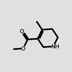 COC(=O)C1=C(C)CCNC1